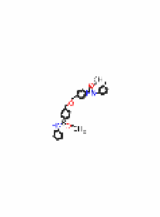 CCOB(Nc1ccccc1)c1ccc(COCc2ccc(B(Nc3ccccc3)OCC)cc2)cc1